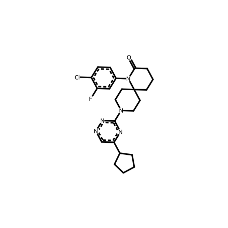 O=C1CCCC2(CCN(c3nncc(C4CCCC4)n3)CC2)N1c1ccc(Cl)c(F)c1